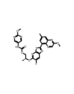 COc1cnc2c(-c3nc4cc(F)c(O[C@@H](C)COC(=O)Nc5cnc(OC)nc5)nc4s3)cc(C)cc2n1